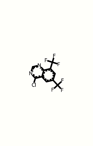 FC(F)(F)c1cc(C(F)(F)F)c2ncnc(Cl)c2c1